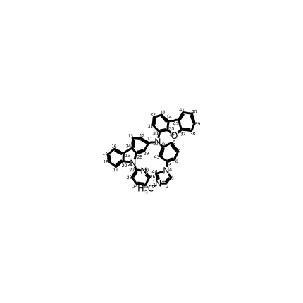 C[n+]1ccn(-c2cccc(N(c3ccc4c5ccccc5n(-c5ccccn5)c4c3)c3cccc4c3oc3ccccc34)c2)c1